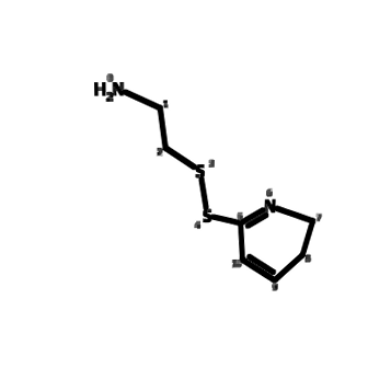 NCCSSC1=NCCC=C1